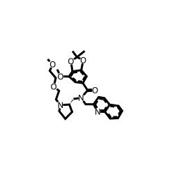 COCCOCCN1CCC[C@H]1CN(Cc1ccc2ccccc2n1)C(=O)c1cc(OC)c2c(c1)OC(C)(C)O2